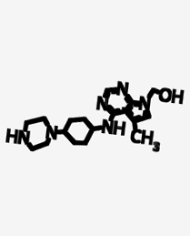 Cc1cn(CO)c2ncnc(NC3CCC(N4CCNCC4)CC3)c12